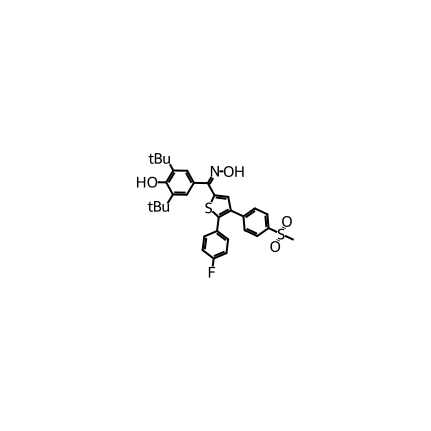 CC(C)(C)c1cc(C(=NO)c2cc(-c3ccc(S(C)(=O)=O)cc3)c(-c3ccc(F)cc3)s2)cc(C(C)(C)C)c1O